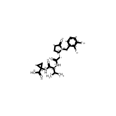 CC(C)[C@H](NC(=O)C[C@@H]1CCC(=O)N1Cc1cccc(F)c1F)C(=O)NC1(C(=O)O)CC1